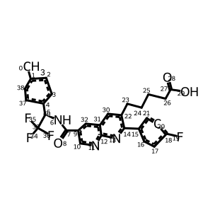 Cc1ccc([C@@H](NC(=O)c2cnc3nc(-c4ccc(F)cc4)c(CCCCC(=O)O)cc3c2)C(F)(F)F)cc1